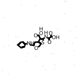 O=C(O)C(=O)Nc1sc2c(c1C(=O)O)CC(CNc1ccccc1)OC2